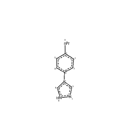 CCCc1ccc(-c2cn[nH]c2)cc1